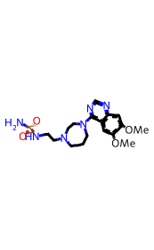 COc1cc2ncnc(N3CCCN(CCNS(N)(=O)=O)CC3)c2cc1OC